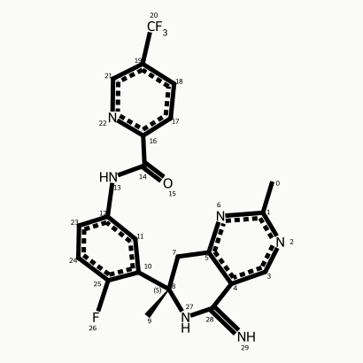 Cc1ncc2c(n1)C[C@@](C)(c1cc(NC(=O)c3ccc(C(F)(F)F)cn3)ccc1F)NC2=N